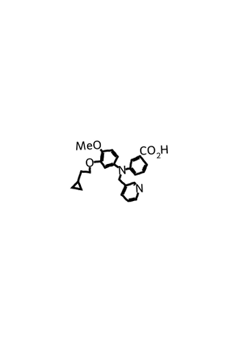 COc1ccc(N(Cc2cccnc2)c2cccc(C(=O)O)c2)cc1OCCC1CC1